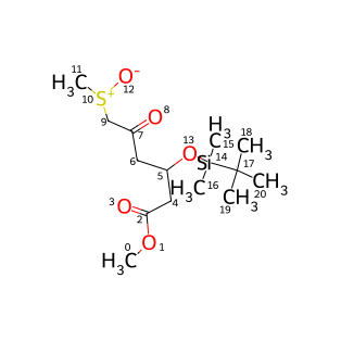 COC(=O)CC(CC(=O)C[S+](C)[O-])O[Si](C)(C)C(C)(C)C